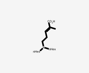 CCCCCCN(CCC=C(C)C(=O)O)CCCCCC